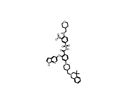 CC1(C)CN(CC2CCN(c3ccc(C(=O)NS(=O)(=O)c4ccc(NCC5CCOCC5)c([N+](=O)[O-])c4)c(Oc4cnc5[nH]ccc5c4)c3)CC2)Cc2ccccc21